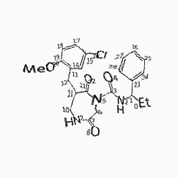 CCC(NC(=O)N1CC(=O)NCC(Cc2cc(Cl)ccc2OC)C1=O)c1ccccc1